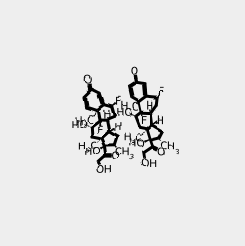 C[C@H]1C[C@H]2[C@@H]3C[C@H](F)C4=CC(=O)C=C[C@]4(C)[C@@]3(F)[C@@H](O)C[C@]2(C)[C@@]1(O)C(=O)CO.C[C@H]1C[C@H]2[C@@H]3C[C@H](F)C4=CC(=O)C=C[C@]4(C)[C@@]3(F)[C@@H](O)C[C@]2(C)[C@@]1(O)C(=O)CO